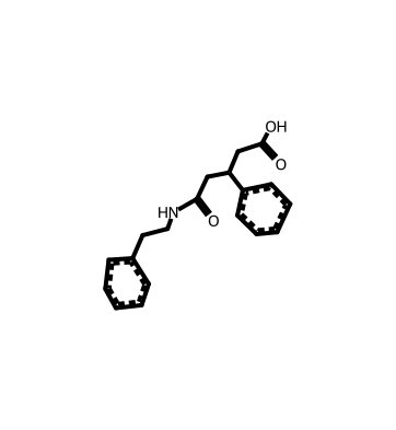 O=C(O)CC(CC(=O)NCCc1ccccc1)c1ccccc1